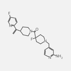 C=C(c1ccc(F)cn1)C1CCN(C(=O)C2(F)CCN(Cc3ccnc(N)c3)CC2)CC1